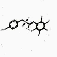 COc1ccc(CS(=O)(=O)/C(=C/c2c(F)c(F)c(F)c(F)c2F)[N+](=O)[O-])cc1